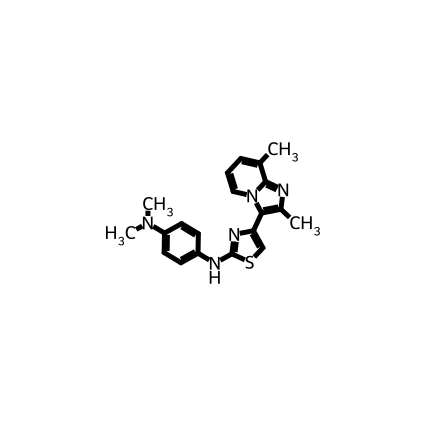 Cc1nc2c(C)cccn2c1-c1csc(Nc2ccc(N(C)C)cc2)n1